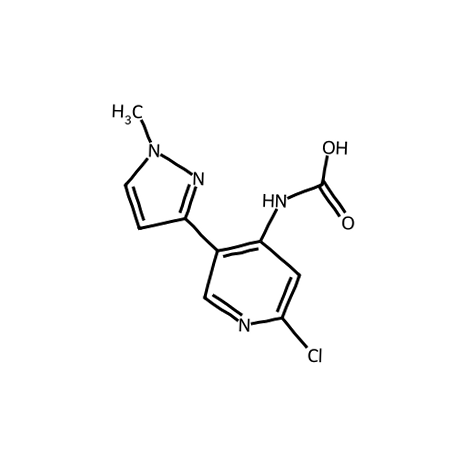 Cn1ccc(-c2cnc(Cl)cc2NC(=O)O)n1